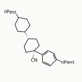 CCCCCc1ccc([C@]2(C#N)CC[C@@H](C3CCC(CCCCC)CC3)CC2)cc1